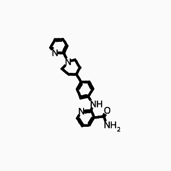 NC(=O)c1cccnc1Nc1ccc(C2CCN(c3ccccn3)CC2)cc1